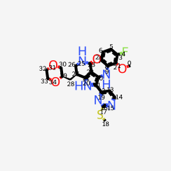 COc1c(F)cccc1Nc1c(-c2ccnc(SC)n2)[nH]c2c1C(=O)NC[C@@H]2C[C@@H]1COCCO1